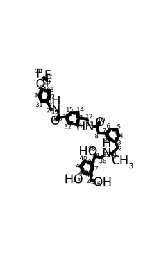 C[C@H](Cc1cccc(CC(=O)NCc2ccc(C(=O)NCc3ccc(OC(F)(F)F)cc3)cc2)c1)NC[C@@H](O)c1ccc(O)c(CO)c1